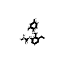 CCc1cccc(SC(=O)NC)c1COc1ccc(C)cc1C